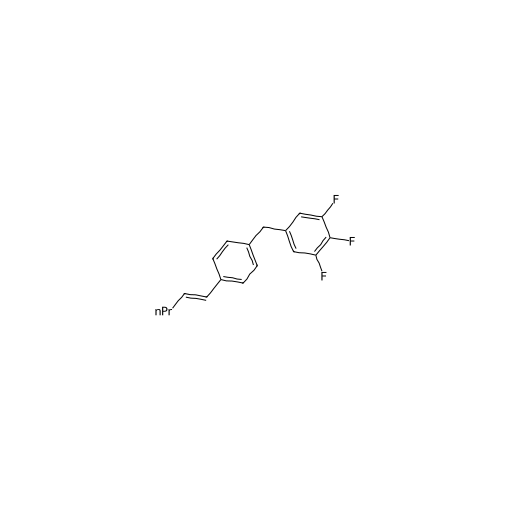 CCC/C=C/c1ccc(Cc2cc(F)c(F)c(F)c2)cc1